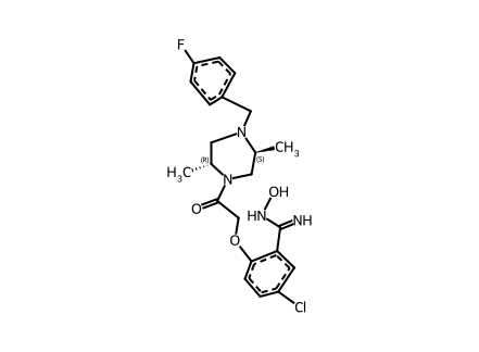 C[C@@H]1CN(Cc2ccc(F)cc2)[C@@H](C)CN1C(=O)COc1ccc(Cl)cc1C(=N)NO